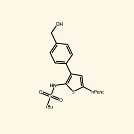 CCCCCc1cc(-c2ccc(CO)cc2)c(NS(=O)(=O)C(C)(C)C)s1